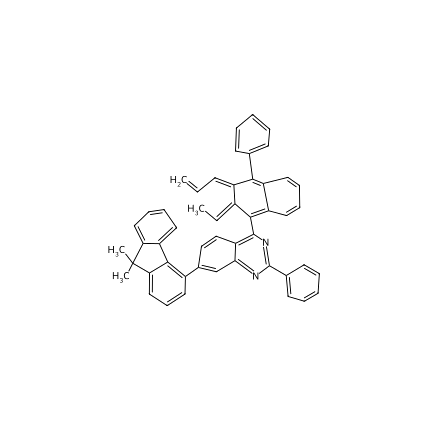 C=C/C=c1/c(-c2ccccc2)c2ccccc2c(-c2nc(-c3ccccc3)nc3cc(-c4cccc5c4-c4ccccc4C5(C)C)ccc23)/c1=C/C